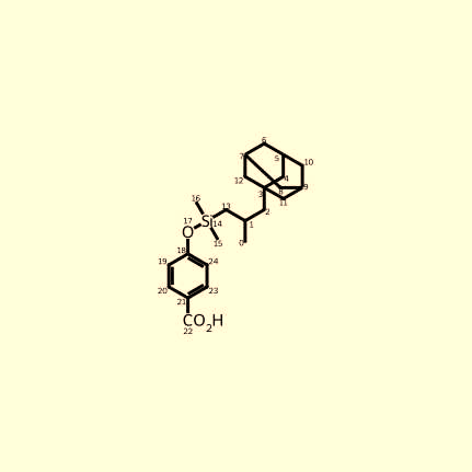 CC(CC12CC3CC(CC(C3)C1)C2)C[Si](C)(C)Oc1ccc(C(=O)O)cc1